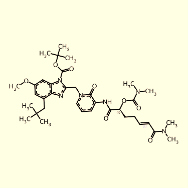 COc1cc(CC(C)(C)C)c2nc(Cn3cccc(NC(=O)[C@H](CC/C=C/C(=O)N(C)C)OC(=O)N(C)C)c3=O)n(C(=O)OC(C)(C)C)c2c1